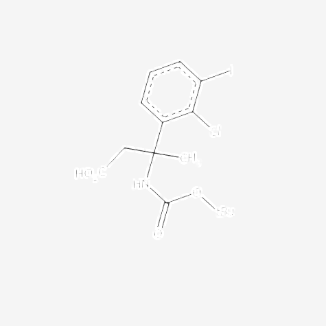 CC(C)(C)OC(=O)NC(C)(CC(=O)O)c1cccc(I)c1Cl